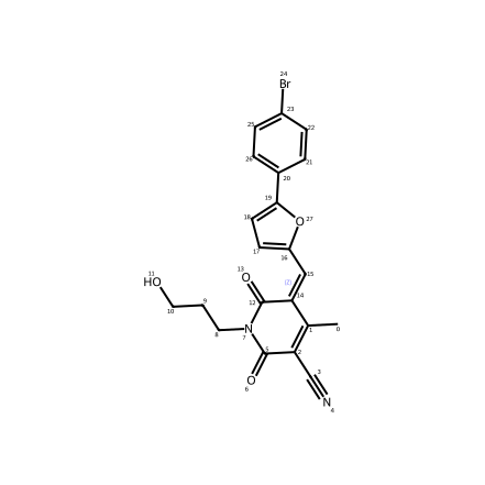 CC1=C(C#N)C(=O)N(CCCO)C(=O)/C1=C\c1ccc(-c2ccc(Br)cc2)o1